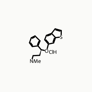 CNCC[C@H](Oc1ccc2ccsc2c1)c1ccccc1.Cl